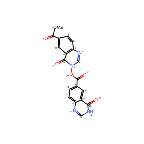 COC(=O)c1ccc2ncn(OC(=O)c3ccc4nc[nH]c(=O)c4c3)c(=O)c2c1